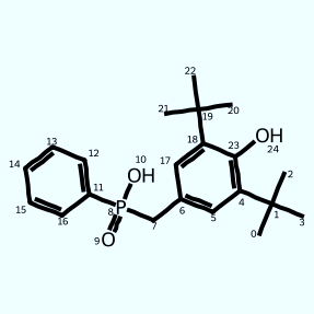 CC(C)(C)c1cc(CP(=O)(O)c2ccccc2)cc(C(C)(C)C)c1O